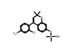 CC1(C)C=C(c2ccc(C(F)(F)F)cc2Cl)c2ccc(O[Si](C)(C)C(C)(C)C)cc2O1